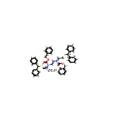 O=C(O)[C@H](CSC(c1ccccc1)c1ccccc1)N(CCN(CCSC(c1ccccc1)c1ccccc1)C(=O)OCc1ccccc1)C(=O)OCc1ccccc1